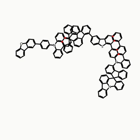 c1ccc(-c2ccc(-c3ccccc3N(c3ccc(-c4cccc5c4sc4ccc(-c6cccc7c6c6cccc8c6n7-c6ccccc6C86c7ccccc7-c7c(N(c8ccc(-c9ccc%10oc%11ccccc%11c%10c9)cc8)c8ccccc8-c8ccc(-c9ccccc9)cc8)cccc76)cc45)cc3)c3cccc4c3-c3ccccc3C43c4ccccc4-n4c5ccccc5c5cccc3c54)cc2)cc1